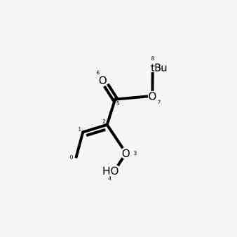 CC=C(OO)C(=O)OC(C)(C)C